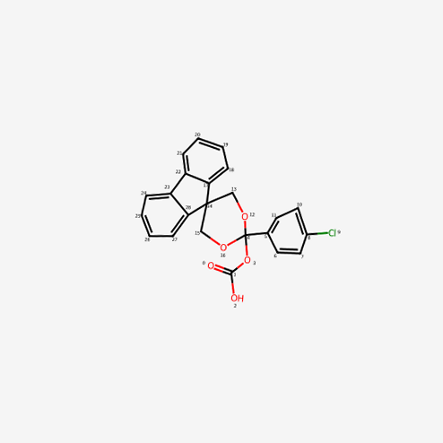 O=C(O)OC1(c2ccc(Cl)cc2)OCC2(CO1)c1ccccc1-c1ccccc12